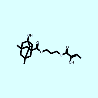 CC=C(O)C(=O)OCCCOC(=O)C12CC3(C)CC(C)(CC(O)(C3)C1)C2